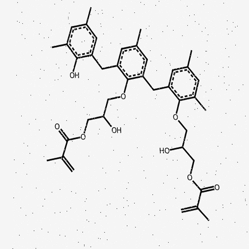 C=C(C)C(=O)OCC(O)COc1c(C)cc(C)cc1Cc1cc(C)cc(Cc2cc(C)cc(C)c2O)c1OCC(O)COC(=O)C(=C)C